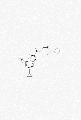 O=C(c1cc2cc(C3CC3)cc(C(F)(F)F)n2n1)N1CCN(C2CCC2)C(=O)C1